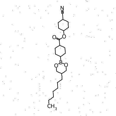 CCCCCCCC1COB(C2CCC(C(=O)OC3CCC(C#N)CC3)CC2)OC1